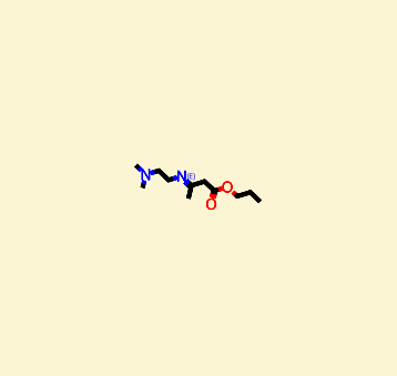 CCCOC(=O)C/C(C)=N/CCN(C)C